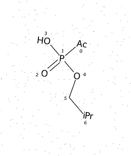 CC(=O)P(=O)(O)OCC(C)C